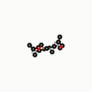 Fc1cc(-c2ccccc2)cc(-c2ccccc2)c1N(c1ccccc1)c1ccc(-c2cc3cc4c(cc(-c5ccc(N(c6ccccc6)c6c(F)cc(-c7ccccc7)cc6-c6ccccc6)cc5)n4-c4ccccc4)cc3n2-c2ccccc2)cc1